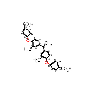 Cc1cc(C(C)c2ccc(Oc3ccc(C(=O)O)cc3)c(C)c2)ccc1Oc1ccc(C(=O)O)cc1